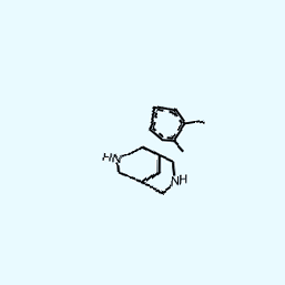 C1NCC2CNCC1C2.Cc1ccccc1C